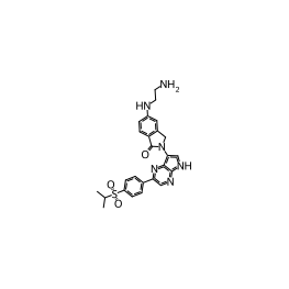 CC(C)S(=O)(=O)c1ccc(-c2cnc3[nH]cc(N4Cc5cc(NCCN)ccc5C4=O)c3n2)cc1